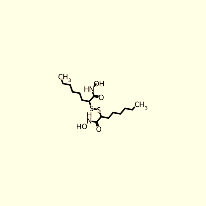 CCCCCCC(SSC(CCCCCC)C(=O)NO)C(=O)NO